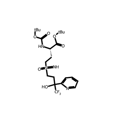 CC(C)(C)OC(=O)N[C@@H](CCS(=N)(=O)CCC(O)(c1ccccn1)C(F)(F)F)C(=O)OC(C)(C)C